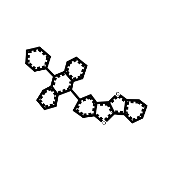 c1ccc(-c2c3ccccc3c(-c3ccc4oc5c6ccccc6oc5c4c3)c3ccccc23)cc1